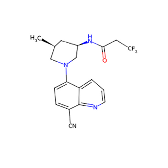 C[C@H]1C[C@@H](NC(=O)CC(F)(F)F)CN(c2ccc(C#N)c3ncccc23)C1